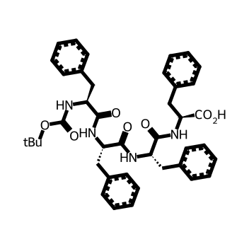 CC(C)(C)OC(=O)N[C@@H](Cc1ccccc1)C(=O)N[C@@H](Cc1ccccc1)C(=O)N[C@@H](Cc1ccccc1)C(=O)N[C@@H](Cc1ccccc1)C(=O)O